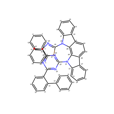 c1ccc(-c2nc(-c3ccccc3-c3ccccc3)nc(-n3c4ccccc4c4ccc5c6ccccc6n(-c6nc7ccccc7s6)c5c43)n2)cc1